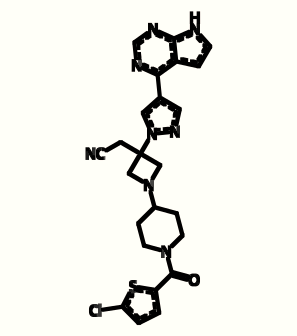 N#CCC1(n2cc(-c3ncnc4[nH]ccc34)cn2)CN(C2CCN(C(=O)c3ccc(Cl)s3)CC2)C1